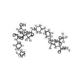 Cc1ncsc1-c1ccc(CNC(=O)[C@@H]2C[C@@H](O)CN2C(=O)[C@@H](NC(=O)CN2CCC(Cc3ccc(CO[C@H](C)[C@H](CCC(N)=O)NC(=O)OC(C)(C)C)cc3)CC2)C(C)(C)C)cc1